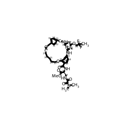 COC(=O)[C@H](CNC(=O)C(=O)N(C)C)NC(=O)c1ccc2cc1OCCCCCCOc1ccc(cc1)CNc1nc(nc(OCC(C)(F)F)n1)N2